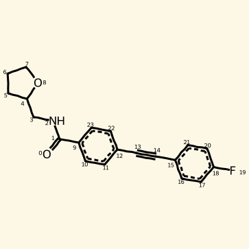 O=C(NCC1CCCO1)c1ccc(C#Cc2ccc(F)cc2)cc1